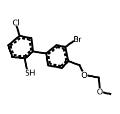 COCOCc1ccc(-c2cc(Cl)ccc2S)cc1Br